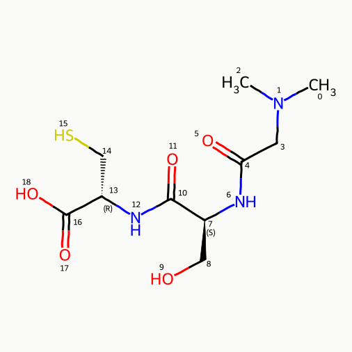 CN(C)CC(=O)N[C@@H](CO)C(=O)N[C@@H](CS)C(=O)O